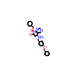 O=c1cc(NCc2ccc(OCc3ccccc3)cc2)c2cncnc2n1OCc1ccccc1